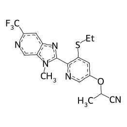 CCSc1cc(OC(C)C#N)cnc1-c1nc2cc(C(F)(F)F)ncc2n1C